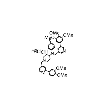 COc1ccc(-c2cc(CN3CCC(N(Cc4cncc(-c5cc(OC)c(OC)c(OC)c5)c4)c4ccc(F)cc4)CC3)ccn2)cc1OC.Cl.Cl.Cl